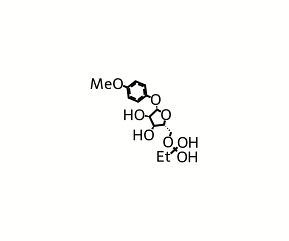 CCC(O)(O)OC[C@H]1O[C@@H](Oc2ccc(OC)cc2)[C@H](O)[C@@H]1O